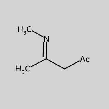 CN=C(C)CC(C)=O